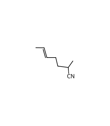 CC=CCCC(C)C#N